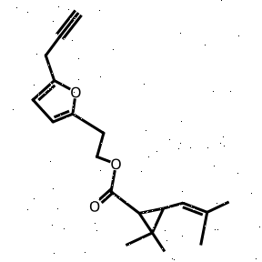 C#CCc1ccc(CCOC(=O)C2C(C=C(C)C)C2(C)C)o1